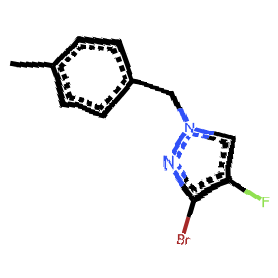 Cc1ccc(Cn2cc(F)c(Br)n2)cc1